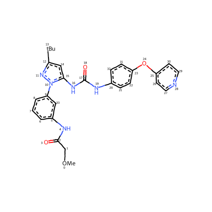 COCC(=O)Nc1cccc(-n2nc(C(C)(C)C)cc2NC(=O)Nc2ccc(Oc3ccncc3)cc2)c1